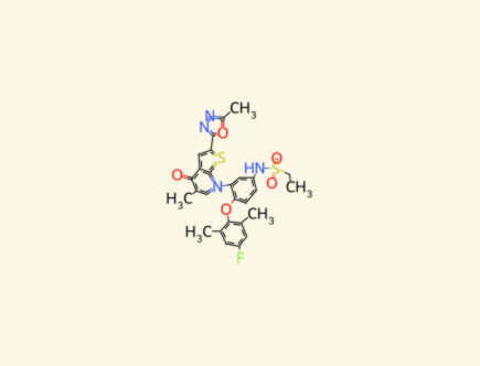 CCS(=O)(=O)Nc1ccc(Oc2c(C)cc(F)cc2C)c(-n2cc(C)c(=O)c3cc(-c4nnc(C)o4)sc32)c1